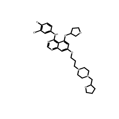 Fc1ccc(Nc2ncnc3cc(OCCCN4CCN(CC5CCCO5)CC4)cc(OC4CCOC4)c23)cc1Cl